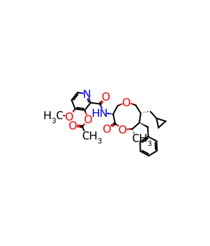 COc1ccnc(C(=O)N[C@H]2COC[C@H](CC3CC3)[C@@H](Cc3ccccc3)[C@H](C)OC2=O)c1OC(C)=O